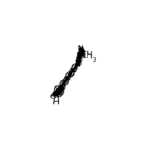 Cn1c2ccncc2c2ccc(N3CCN(CCCOCCOCCOCCOCCOc4ccc5c(c4)C(=O)N(C4CCC(=O)NC4=O)C5=O)CC3)cc21